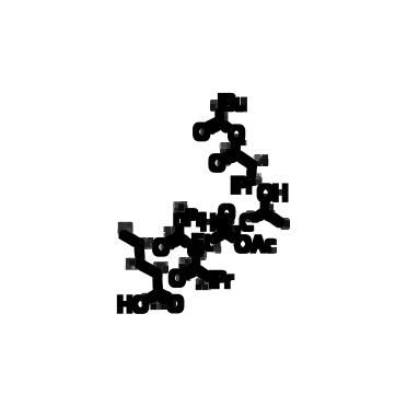 CC(O)C(=O)O.CCC(=O)OC(C)=O.CCC(C)C(=O)OC(=O)CC(C)C.CCCC(=O)OC(=O)C(C)C.CCCCC(=O)O